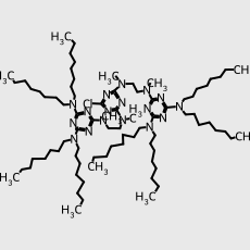 CCCCCCCCN(CCCCCCCC)c1nc(N(C)CCN(C)c2nc(Cl)nc(N(C)CCN(C)c3nc(N(CCCCCCCC)CCCCCCCC)nc(N(CCCCCCCC)CCCCCCCC)n3)n2)nc(N(CCCCCCCC)CCCCCCCC)n1